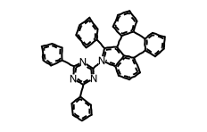 c1ccc(-c2nc(-c3ccccc3)nc(-n3c(-c4ccccc4)c4c5c(cccc53)-c3ccccc3-c3ccccc3-4)n2)cc1